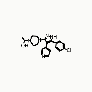 CC(O)N1CCN(c2n[nH]c(-c3ccc(Cl)cc3)c2-c2ccncc2)CC1